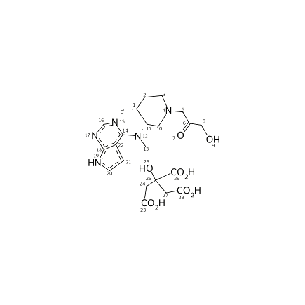 C[C@@H]1CCN(CC(=O)CO)C[C@@H]1N(C)c1ncnc2[nH]ccc12.O=C(O)CC(O)(CC(=O)O)C(=O)O